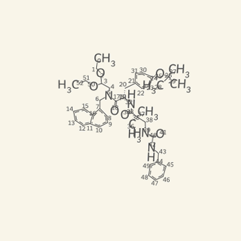 CCOC(CN(Cc1cccc2ccccc12)C(=O)[C@H](Cc1ccc(OC(C)(C)C)cc1)NC(=O)C(C)(C)CNC(=O)NCc1ccccc1)OCC